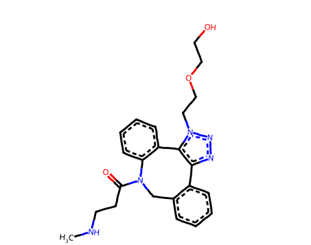 CNCCC(=O)N1Cc2ccccc2-c2nnn(CCOCCO)c2-c2ccccc21